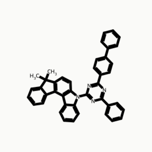 CC1(C)c2ccccc2-c2c1ccc1c2c2ccccc2n1-c1nc(-c2ccccc2)nc(-c2ccc(-c3ccccc3)cc2)n1